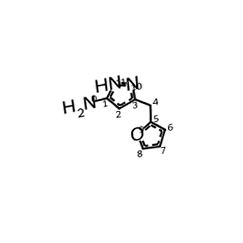 Nc1cc(Cc2ccco2)n[nH]1